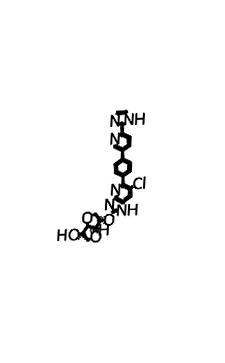 O[C@@H]1CO[C@H]2C1OC[C@H]2Oc1nc2nc(-c3ccc(-c4ccc(-c5ncc[nH]5)nc4)cc3)c(Cl)cc2[nH]1